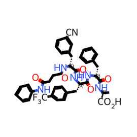 C[C@H](NC(=O)[C@@H](Cc1ccccc1)NC(=O)[C@H](Cc1ccc(C(F)(F)F)cc1)NC(=O)[C@@H](Cc1cccc(C#N)c1)NC(=O)CCC(=O)Nc1ccccc1)C(=O)O